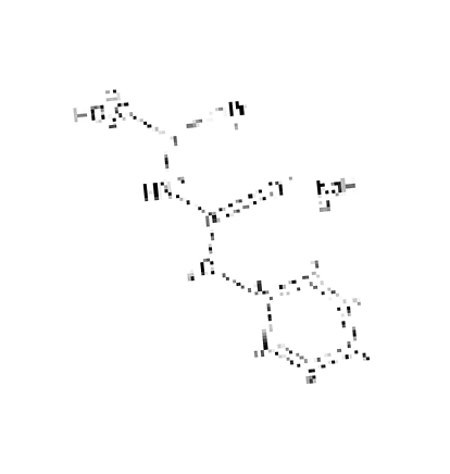 CC(C)[C@H](NC(=O)Oc1ccccc1)C(=O)O.[NaH]